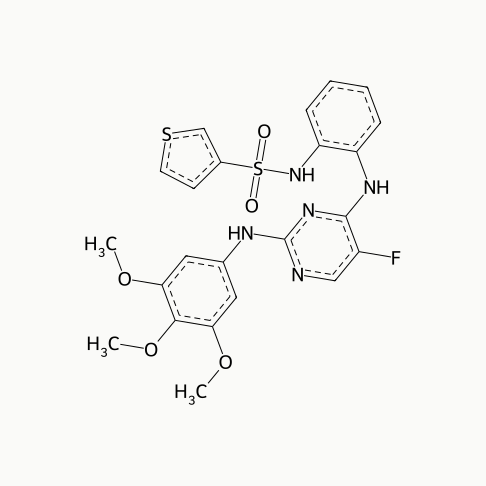 COc1cc(Nc2ncc(F)c(Nc3ccccc3NS(=O)(=O)c3ccsc3)n2)cc(OC)c1OC